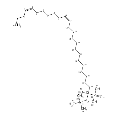 CCC/C=C\CCCCC/C=C\CCCCCCCCCCCCC(O)(C[N+](C)(C)C)P(=O)(O)O